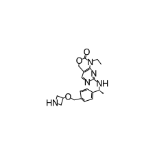 CCN1C(=O)OCc2cnc(N[C@@H](C)c3ccc(COC4CNC4)cc3)nc21